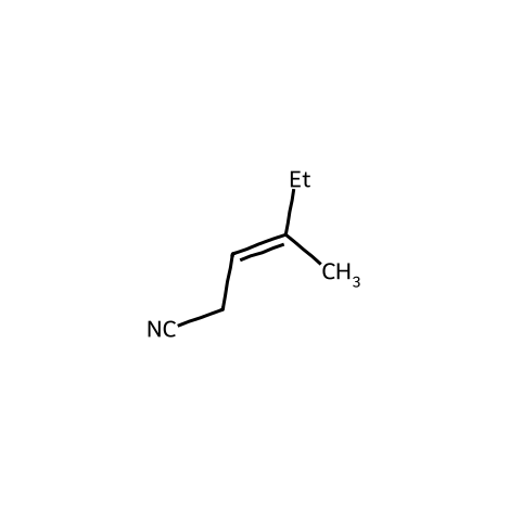 CC/C(C)=C/CC#N